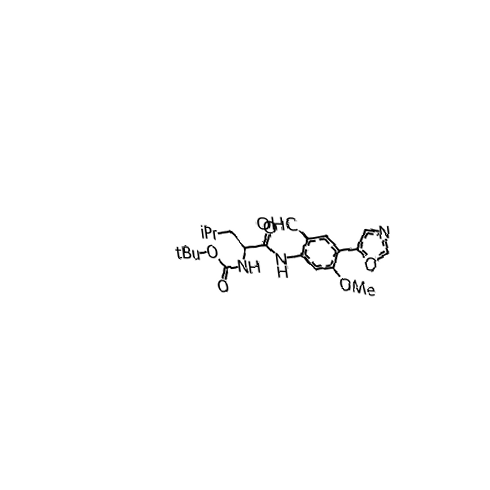 COc1cc(NC(=O)C(CC(C)C)NC(=O)OC(C)(C)C)c(C=O)cc1-c1cnco1